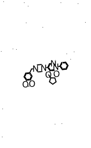 O=c1c(OC2CCCC2)c(N2CCN(Cc3ccc4c(c3)OCO4)CC2)cnn1-c1ccccc1